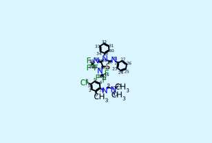 Cc1cc(Cl)ccc1N=CN(C)C.FC(F)(F)/N=C1\S/C(=N\c2ccccc2)N(c2ccccc2)\C1=N\C(F)(F)F